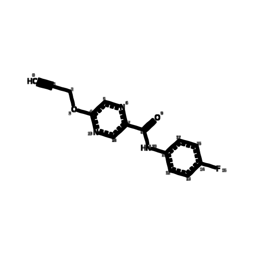 C#CCOc1cnc(C(=O)Nc2ccc(F)cc2)cn1